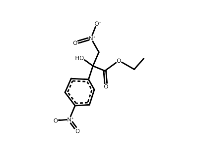 CCOC(=O)C(O)(C[N+](=O)[O-])c1ccc([N+](=O)[O-])cc1